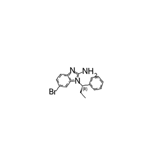 CC[C@H](c1ccccc1)n1c(N)nc2ccc(Br)cc21